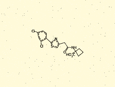 O=C(Cc1csc(-c2ccc(Cl)cc2Cl)n1)NC1(C(=O)O)CCC1